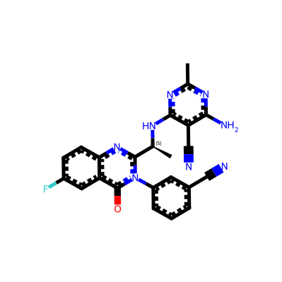 Cc1nc(N)c(C#N)c(N[C@@H](C)c2nc3ccc(F)cc3c(=O)n2-c2cccc(C#N)c2)n1